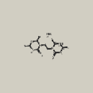 CC1NC(C)N(CCN2C(=S)SC(C)NC2C)C(=S)S1.N